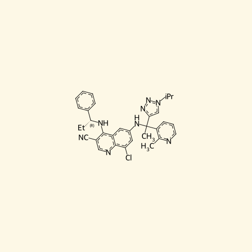 CC[C@@H](Nc1c(C#N)cnc2c(Cl)cc(NC(C)(c3cn(C(C)C)nn3)c3cccnc3C)cc12)c1ccccc1